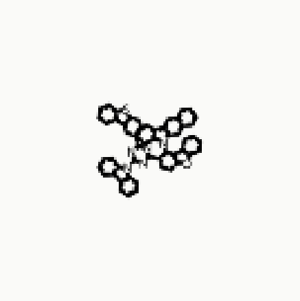 c1ccc2cc3c(cc2c1)c1ccccc1n3-c1c(-c2nc(-c3ccc4sc5ccccc5c4c3)nc(-n3c4ccccc4c4ccccc43)n2)ccc2oc3ccccc3c12